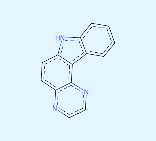 [c]1cnc2ccc3[nH]c4ccccc4c3c2n1